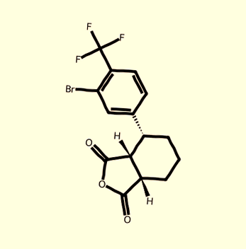 O=C1OC(=O)[C@H]2CCC[C@@H](c3ccc(C(F)(F)F)c(Br)c3)[C@@H]12